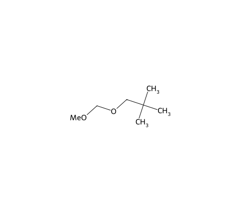 COCOCC(C)(C)C